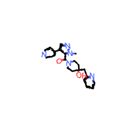 Cn1ncc(-c2ccncc2)c1C(=O)N1CCC(O)(Cc2ccccn2)CC1